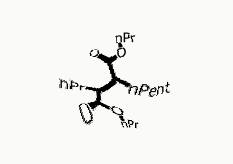 CCCCCC(C(=O)OCCC)=C(CCC)C(=O)OCCC